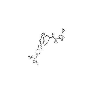 CC(C)CN1CCC(CS(=O)(=O)N2CC[C@H](NC(=O)c3cc(C4CC4)on3)C[C@@H]2C)CC1